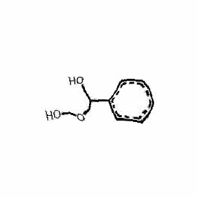 OOC(O)c1ccccc1